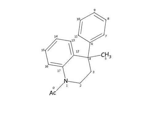 CC(=O)N1CCC(C)(c2ccccc2)c2ccccc21